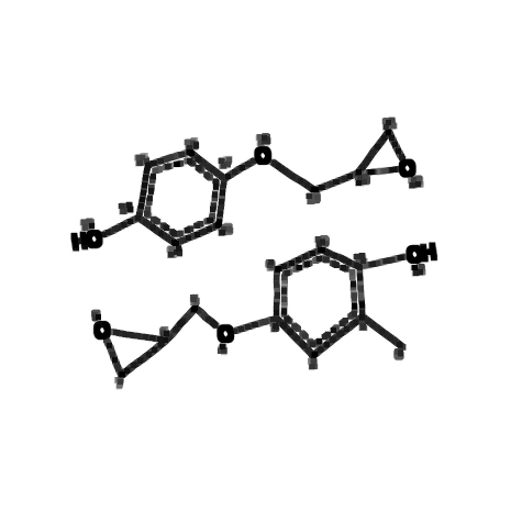 Cc1cc(OCC2CO2)ccc1O.Oc1ccc(OCC2CO2)cc1